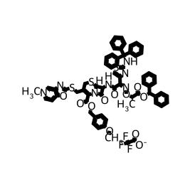 COc1ccc(COC(=O)C2=C(CSc3nc4c[n+](C)ccc4o3)CS[C@H]3C(NC(=O)/C(=N\O[C@@H](C)C(=O)OC(c4ccccc4)c4ccccc4)c4csc(NC(c5ccccc5)(c5ccccc5)c5ccccc5)n4)C(=O)N23)cc1.O=C([O-])C(F)(F)F